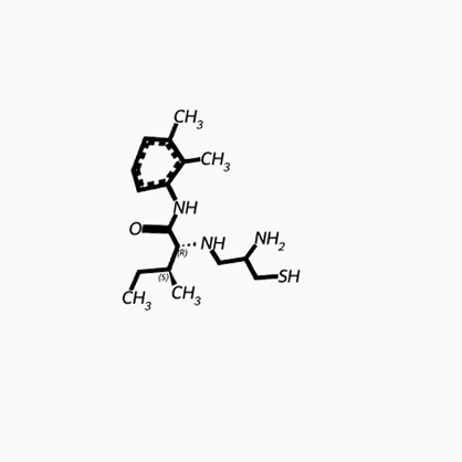 CC[C@H](C)[C@@H](NCC(N)CS)C(=O)Nc1cccc(C)c1C